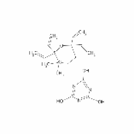 C=CC1(C=C)CC[Si](C)(C)[Si](C=C)(C=C)O1.Oc1nc(O)nc(O)n1